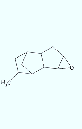 CC1CC2CC1C1C2CC2OC21